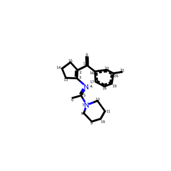 C=C(C1=C(/N=C(\C)N2CCCCC2)CCC1)c1cccc(C)c1